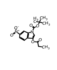 CCC(=O)Oc1cn(C(=O)OC(C)(C)C)c2cc([N+](=O)[O-])ccc12